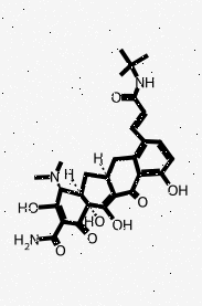 CN(C)[C@H]1C(O)=C(C(N)=O)C(=O)[C@]2(O)C(O)=C3C(=O)c4c(O)ccc(/C=C/C(=O)NC(C)(C)C)c4C[C@@H]3C[C@H]12